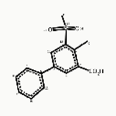 Cc1c(C(=O)O)cc(-c2ccccc2)cc1S(C)(=O)=O